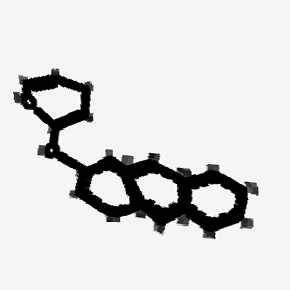 [c]1c(OC2=CCC=CO2)ccc2cc3ccccc3cc12